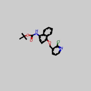 CC(C)(C)OC(=O)Nc1ccc(OCc2cccnc2Cl)c2ccccc12